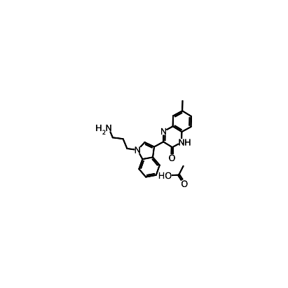 CC(=O)O.Cc1ccc2[nH]c(=O)c(-c3cn(CCCN)c4ccccc34)nc2c1